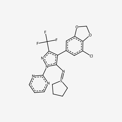 FC(F)(F)c1nn(-c2ncccn2)c(N=S2CCCC2)c1-c1cc(Cl)c2c(c1)OCO2